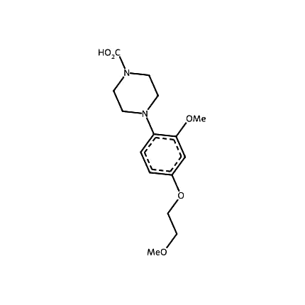 COCCOc1ccc(N2CCN(C(=O)O)CC2)c(OC)c1